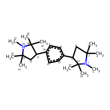 CN1C(C)(C)CC(c2ccc(C3CC(C)(C)N(C)C3(C)C)cc2)C1(C)C